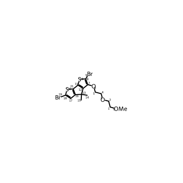 COCCOCCOc1c(Br)sc2c1C(C)(C)c1cc(Br)sc1-2